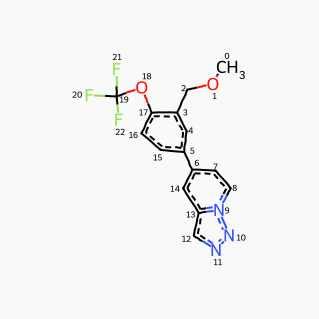 COCc1cc(-c2ccn3nncc3c2)ccc1OC(F)(F)F